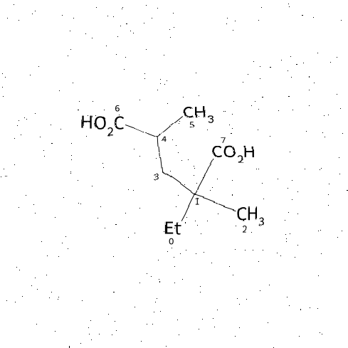 CCC(C)(CC(C)C(=O)O)C(=O)O